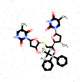 Cc1cn([C@H]2C[C@H](C)[C@@H](C(CS[C@@H]3OC(n4c(=O)[nH]cc(C)c4=O)CC3O)O[Si](c3ccccc3)(c3ccccc3)C(C)(C)C)O2)c(=O)[nH]c1=O